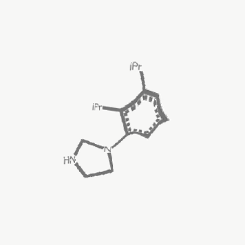 CC(C)c1cccc(N2CCNC2)c1C(C)C